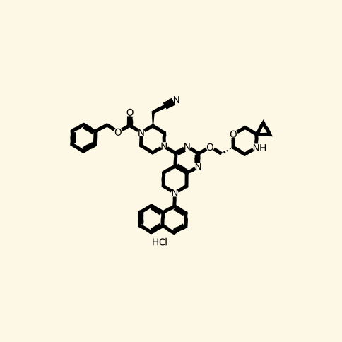 Cl.N#CC[C@H]1CN(c2nc(OC[C@H]3CNC4(CC4)CO3)nc3c2CCN(c2cccc4ccccc24)C3)CCN1C(=O)OCc1ccccc1